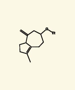 C=C1CC(OCC)CCC2=C(C)CCC12